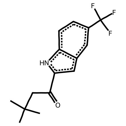 CC(C)(C)CC(=O)c1cc2cc(C(F)(F)F)ccc2[nH]1